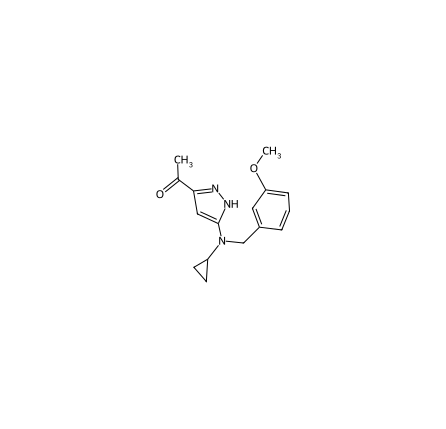 COc1cccc(CN(c2cc(C(C)=O)n[nH]2)C2CC2)c1